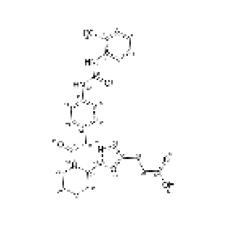 Cc1ccccc1NC(=O)Nc1ccc(CC(=O)N2CCCCC2c2ncc(CCC(=O)O)o2)cc1